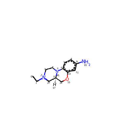 CCN1CCN2c3ccc(N)cc3OC[C@H]2C1